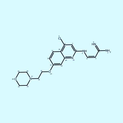 N=C(N)/C=C\Nc1cc(Cl)c2ccc(OCCN3CCOCC3)cc2n1